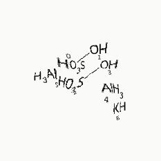 O=S(=O)(O)O.O=S(=O)(O)O.[AlH3].[AlH3].[KH]